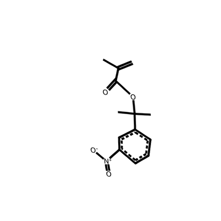 C=C(C)C(=O)OC(C)(C)c1cccc([N+](=O)[O-])c1